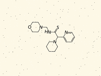 S=C(NCN1CCOCC1)C(c1ccccn1)N1CCCCC1